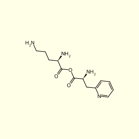 NCCC[C@@H](N)C(=O)OC(=O)[C@@H](N)Cc1ccccn1